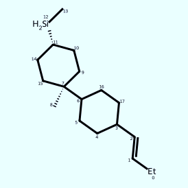 CC/C=C/C1CCC([C@]2(C)CC[C@@H]([SiH2]C)CC2)CC1